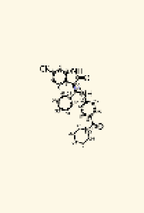 O=C1Nc2cc(Cl)ccc2/C1=C(/Nc1ccc(C(=O)N2CCCCC2)cc1)c1ccccc1